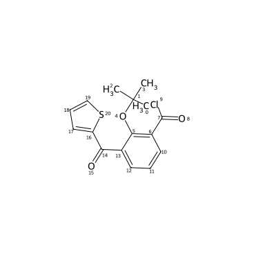 CC(C)(C)Oc1c(C(=O)Cl)cccc1C(=O)c1cccs1